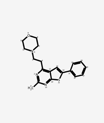 Cc1nc(CCN2CCOCC2)c2cc(-c3ccccc3)sc2n1